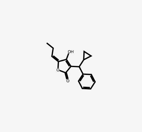 CCC=C1OC(=O)C(C(c2ccccc2)C2CC2)=C1O